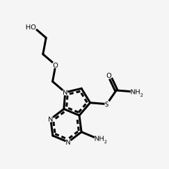 NC(=O)Sc1cn(COCCO)c2ncnc(N)c12